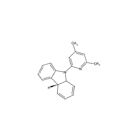 Cc1cc(C)nc(N2c3ccccc3[C@H]3C=CC=CC32)c1